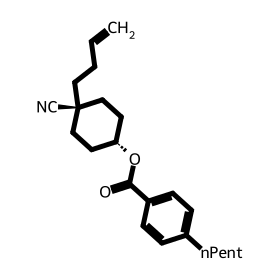 C=CCC[C@]1(C#N)CC[C@H](OC(=O)c2ccc(CCCCC)cc2)CC1